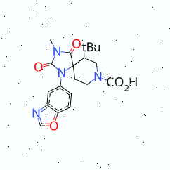 CN1C(=O)N(c2ccc3ocnc3c2)C2(CCN(C(=O)O)CC2C(C)(C)C)C1=O